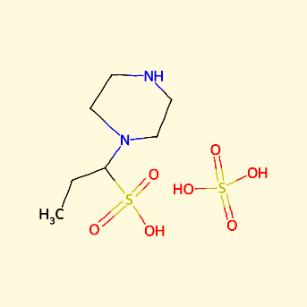 CCC(N1CCNCC1)S(=O)(=O)O.O=S(=O)(O)O